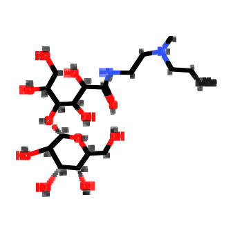 CNCCN(C)CCNC(=O)C(O)C(O)C(O[C@@H]1OC(CO)[C@H](O)[C@H](O)C1O)C(O)CO